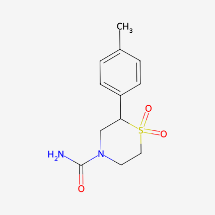 Cc1ccc(C2CN(C(N)=O)CCS2(=O)=O)cc1